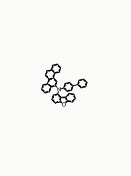 c1ccc(-c2ccc(N(c3cc4c5ccccc5ccc4c4ccccc34)c3cccc4oc5ccccc5c34)cc2)cc1